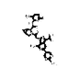 Cc1ncc(-c2cc3c(C(N)=O)nn(CC(=O)N4CC5CC5C4C(=O)Nc4nc(Br)ccc4C)c3c(C)n2)cn1